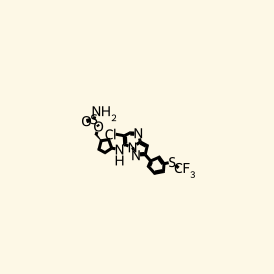 NS(=O)OC[C@@H]1CCC(Nc2c(Cl)cnc3cc(-c4cccc(SC(F)(F)F)c4)nn23)C1